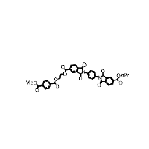 CCCOC(=O)c1ccc2c(c1)C(=O)N(c1ccc(N3C(=O)c4ccc(C(=O)OCCOC(=O)c5ccc(C(=O)OC)cc5)cc4C3=O)cc1)C2=O